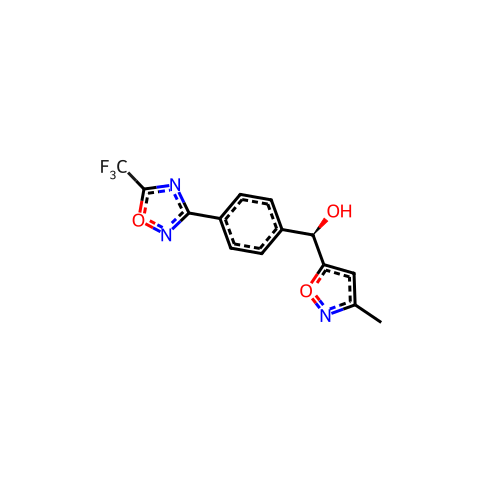 Cc1cc([C@H](O)c2ccc(-c3noc(C(F)(F)F)n3)cc2)on1